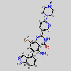 CN1CCN(c2ccc(-c3nc4c(Br)cc(-c5cccc6[nH]ncc56)c(N)c4c(=O)[nH]3)cn2)CC1